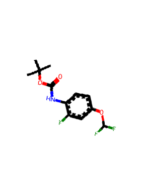 CC(C)(C)OC(=O)Nc1ccc(OC(F)F)cc1F